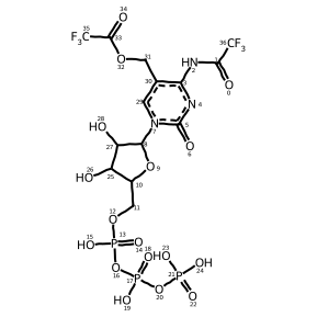 O=C(Nc1nc(=O)n(C2OC(COP(=O)(O)OP(=O)(O)OP(=O)(O)O)C(O)C2O)cc1COC(=O)C(F)(F)F)C(F)(F)F